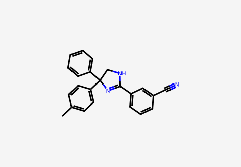 Cc1ccc(C2(c3ccccc3)CNC(c3cccc(C#N)c3)=N2)cc1